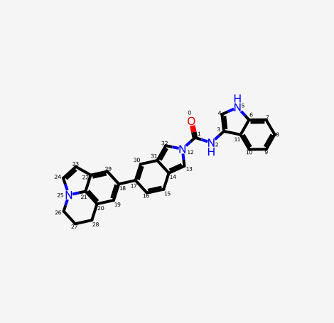 O=C(Nc1c[nH]c2ccccc12)n1cc2ccc(-c3cc4c5c(ccn5CCC4)c3)cc2c1